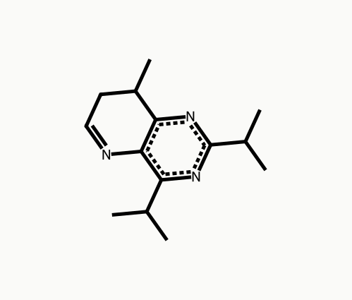 CC(C)c1nc(C(C)C)c2c(n1)C(C)CC=N2